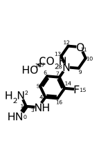 N=C(N)Nc1ccc(N2CCOCC2)c(F)c1.O=C(O)O